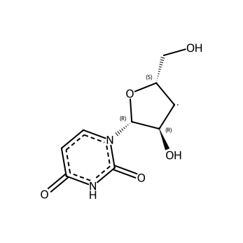 O=c1ccn([C@@H]2O[C@H](CO)[CH][C@H]2O)c(=O)[nH]1